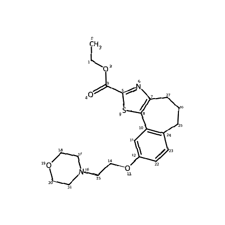 CCOC(=O)c1nc2c(s1)-c1cc(OCCN3CCOCC3)ccc1CCC2